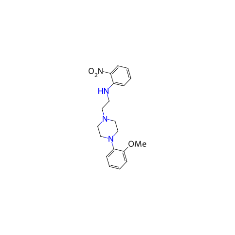 COc1ccccc1N1CCN(CCNc2ccccc2[N+](=O)[O-])CC1